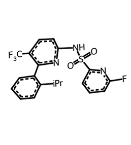 CC(C)c1ccccc1-c1nc(NS(=O)(=O)c2cccc(F)n2)ccc1C(F)(F)F